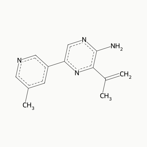 C=C(C)c1nc(-c2cncc(C)c2)cnc1N